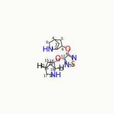 C1NC2CC1C[C@H]2Oc1nsnc1O[C@@H]1C[C@H]2CN[C@@H]1C2